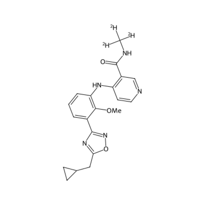 [2H]C([2H])([2H])NC(=O)c1cnccc1Nc1cccc(-c2noc(CC3CC3)n2)c1OC